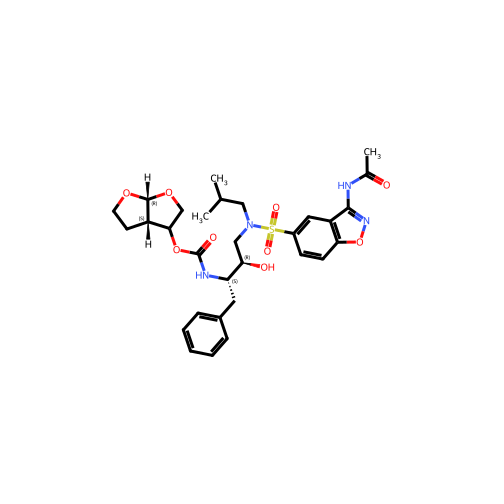 CC(=O)Nc1noc2ccc(S(=O)(=O)N(CC(C)C)C[C@@H](O)[C@H](Cc3ccccc3)NC(=O)OC3CO[C@H]4OCC[C@@H]34)cc12